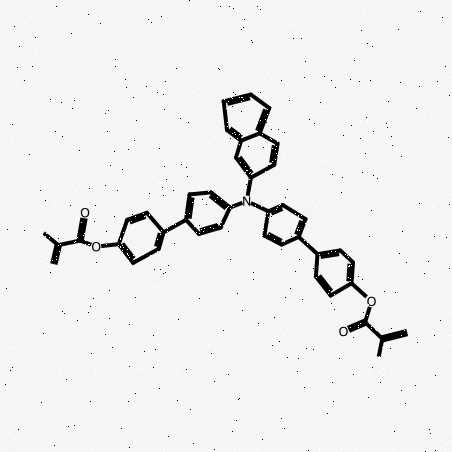 C=C(C)C(=O)Oc1ccc(-c2ccc(N(c3ccc(-c4ccc(OC(=O)C(=C)C)cc4)cc3)c3ccc4ccccc4c3)cc2)cc1